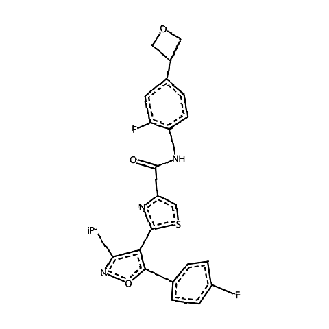 CC(C)c1noc(-c2ccc(F)cc2)c1-c1nc(C(=O)Nc2ccc(C3COC3)cc2F)cs1